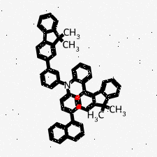 CC1(C)c2ccccc2-c2ccc(-c3cccc(N(c4ccc(-c5cccc6ccccc56)cc4)c4ccccc4-c4cccc5c4-c4ccccc4C5(C)C)c3)cc21